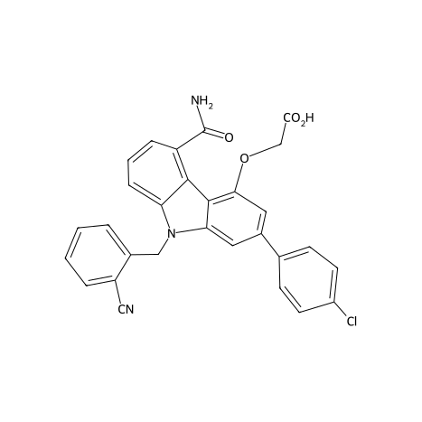 N#Cc1ccccc1Cn1c2cc(-c3ccc(Cl)cc3)cc(OCC(=O)O)c2c2c(C(N)=O)cccc21